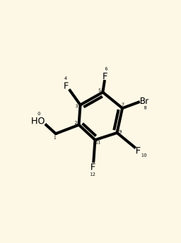 OCc1c(F)c(F)c(Br)c(F)c1F